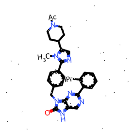 CC(=O)N1CCC(c2cnc(-c3ccc(Cn4c(=O)[nH]c5cnc(-c6ccccc6C(C)C)nc54)cc3)n2C)CC1